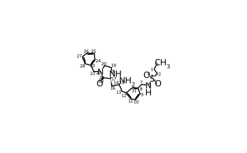 CCCS(=O)(=O)NCc1cccc(C[C@H](N)C[C@@H]2NCCN(Cc3ccccc3)C2=O)c1